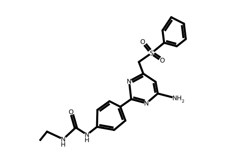 CCNC(=O)Nc1ccc(-c2nc(N)cc(CS(=O)(=O)c3ccccc3)n2)cc1